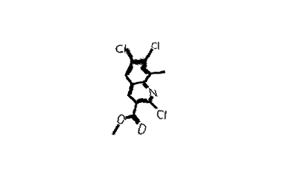 COC(=O)c1cc2cc(Cl)c(Cl)c(C)c2nc1Cl